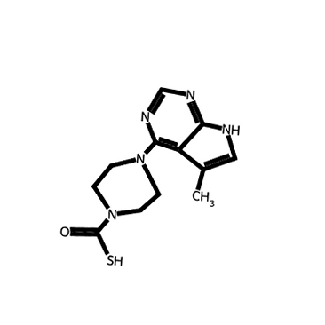 Cc1c[nH]c2ncnc(N3CCN(C(=O)S)CC3)c12